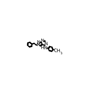 Cc1ccc(Nc2ncnc3nn(CCc4ccccc4)cc23)cc1